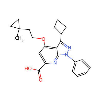 CC1(CCOc2cc(C(=O)O)nc3c2c(C2CCC2)nn3-c2ccccc2)CC1